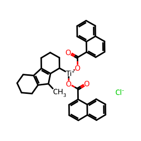 CC1C2=C(CCCC2)C2=C1[CH]([Ti+]([O]C(=O)c1cccc3ccccc13)[O]C(=O)c1cccc3ccccc13)CCC2.[Cl-]